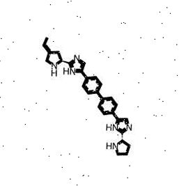 CC=C1CN[C@H](c2ncc(-c3ccc(-c4ccc(-c5cnc([C@@H]6CCCN6)[nH]5)cc4)cc3)[nH]2)C1